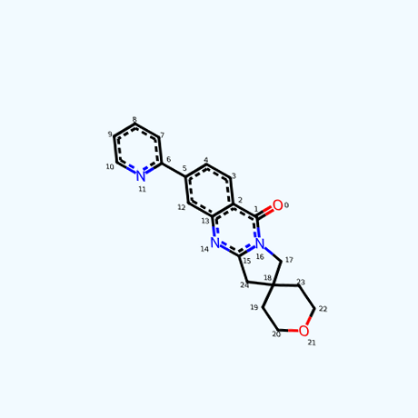 O=c1c2ccc(-c3ccccn3)cc2nc2n1CC1(CCOCC1)C2